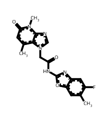 Cc1cc2oc(NC(=O)Cn3cnc4c3c(C)cc(=O)n4C)nc2cc1F